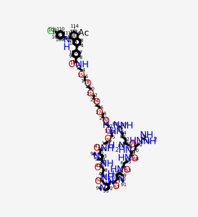 CC(=O)C1c2ccc(-c3ccc(C(=O)NCCOCCOCCOCCOCCOCCOCCOCCOCCNC(=O)c4cc(NC(=O)CCNC(=O)c5c(NC(=O)c6cc(NC(=O)CCNC(=O)[C@H](CCCNC(=N)N)NC(=O)[C@@H](N)CCCNC(=N)N)cn6C)ccn5C)cn4C)cc3)cc2[C@H](Nc2ccc(Cl)cc2)C[C@@H]1C